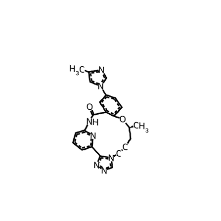 Cc1cn(-c2ccc3c(c2)C(=O)Nc2cccc(n2)-c2nncn2CCC[C@H](C)O3)cn1